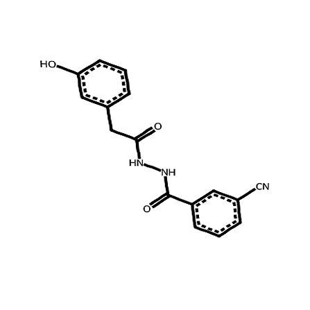 N#Cc1cccc(C(=O)NNC(=O)Cc2cccc(O)c2)c1